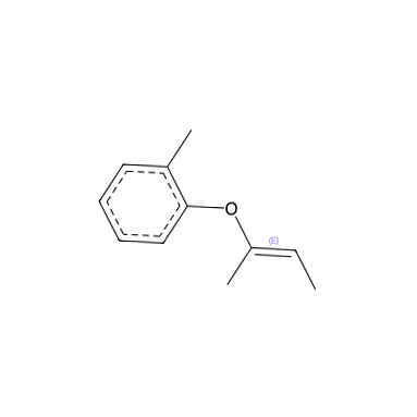 C/C=C(\C)Oc1ccccc1C